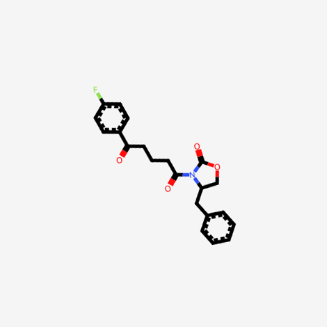 O=C(CCCC(=O)N1C(=O)OCC1Cc1ccccc1)c1ccc(F)cc1